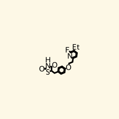 CCc1ccc(CCOc2ccc(CC3SC(=O)NC3=O)cc2)nc1F